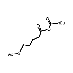 CCCCC(=O)OC(=O)CCCCSC(C)=O